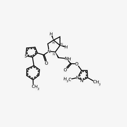 Cc1ccc(-c2sccc2C(=O)N2C[C@@H]3C[C@@H]3[C@H]2CNC(=O)Oc2cc(C)nn2C)cc1